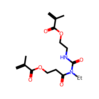 C=C(C)C(=O)OCCNC(=O)N(CC)C(=O)CCOC(=O)C(=C)C